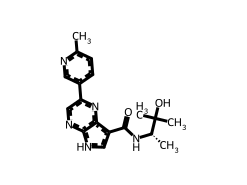 Cc1ccc(-c2cnc3[nH]cc(C(=O)N[C@@H](C)C(C)(C)O)c3n2)cn1